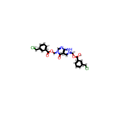 O=C(OCn1cnc2[nH][n+](COC(=O)c3cccc(CCl)c3)cc2c1=O)c1cccc(CCl)c1